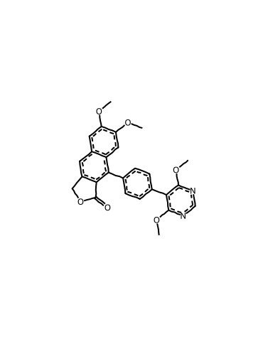 COc1cc2cc3c(c(-c4ccc(-c5c(OC)ncnc5OC)cc4)c2cc1OC)C(=O)OC3